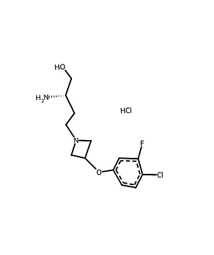 Cl.N[C@H](CO)CCN1CC(Oc2ccc(Cl)c(F)c2)C1